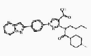 CCCCN(c1nn(-c2ccc(-c3cc4ncccn4n3)cc2)cc1C(=O)O)C(=O)[C@H]1CC[C@H](C)CC1